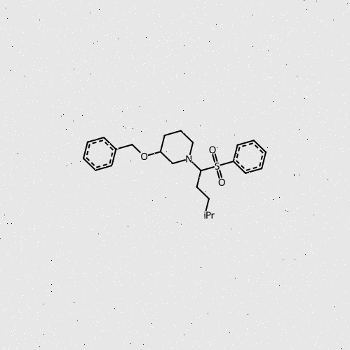 CC(C)CCC(N1CCCC(OCc2ccccc2)C1)S(=O)(=O)c1ccccc1